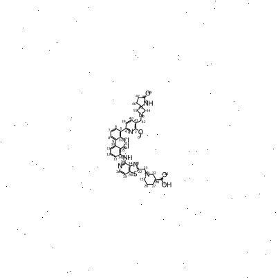 COc1nc(-c2cccc(-c3cccc(Nc4nccc5sc(CN6CCC[C@H](C(=O)O)C6)nc45)c3Cl)c2Cl)ccc1CN1CC2(CCC(=O)N2)C1